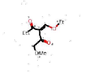 CCOC=C(C(=O)CC)C(=O)COC